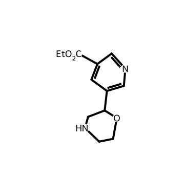 CCOC(=O)c1cncc(C2CNCCO2)c1